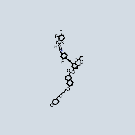 C=CC(=O)Oc1c(C)cc(OC(=O)c2ccc3cc(OCCCOCC4CCC5OC5C4)ccc3c2)cc1C#Cc1ccc(/C=N/Nc2nc3c(F)c(F)ccc3s2)cc1F